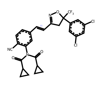 N#Cc1ccc(/C=C/C2=NOC(c3cc(Cl)cc(Cl)c3)(C(F)(F)F)C2)cc1N(C(=O)C1CC1)C(=O)C1CC1